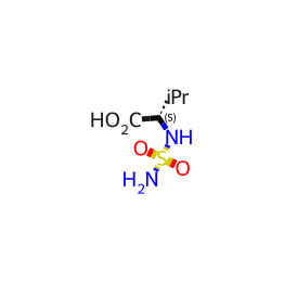 CC(C)[C@H](NS(N)(=O)=O)C(=O)O